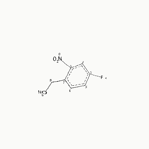 O=[N+]([O-])c1cc(F)ccc1CO